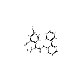 CC(NCc1ccccc1-c1ccccc1)c1ccc(F)cc1F